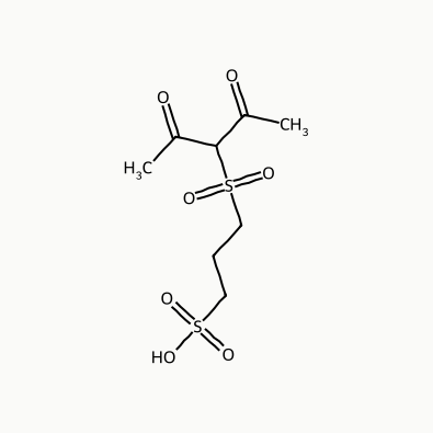 CC(=O)C(C(C)=O)S(=O)(=O)CCCS(=O)(=O)O